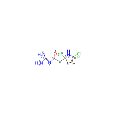 NC(N)=NC(=O)CC1(Cl)CC=C(Cl)N1